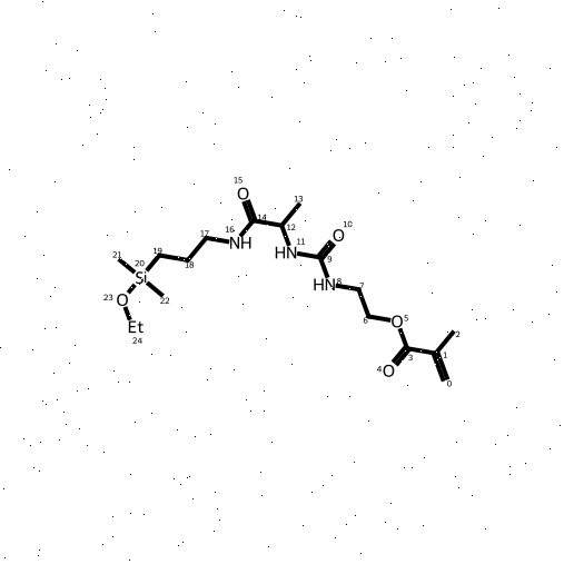 C=C(C)C(=O)OCCNC(=O)NC(C)C(=O)NCCC[Si](C)(C)OCC